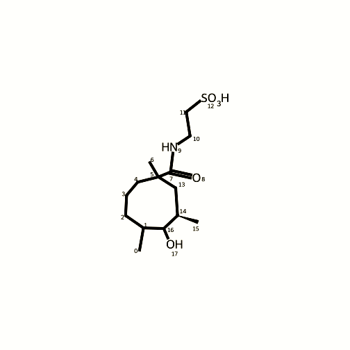 CC1CCCC(C)(C(=O)NCCS(=O)(=O)O)C[C@@H](C)C1O